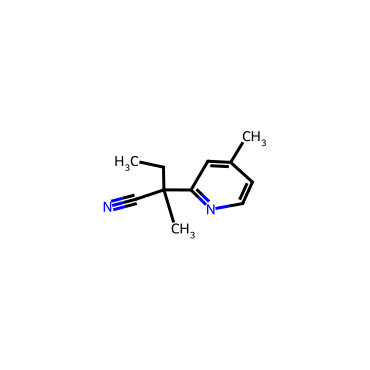 CCC(C)(C#N)c1cc(C)ccn1